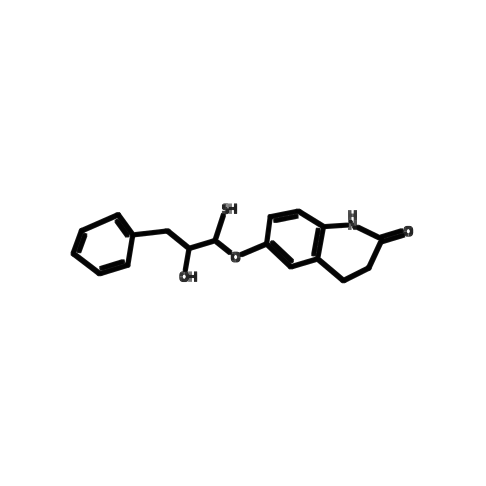 O=C1CCc2cc(OC(S)C(O)Cc3ccccc3)ccc2N1